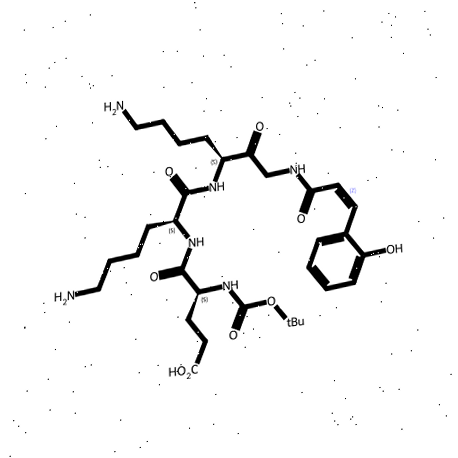 CC(C)(C)OC(=O)N[C@@H](CCC(=O)O)C(=O)N[C@@H](CCCCN)C(=O)N[C@@H](CCCCN)C(=O)CNC(=O)/C=C\c1ccccc1O